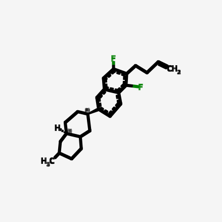 C=CCCc1c(F)cc2cc([C@@H]3CC[C@@H]4CC(C)CCC4C3)ccc2c1F